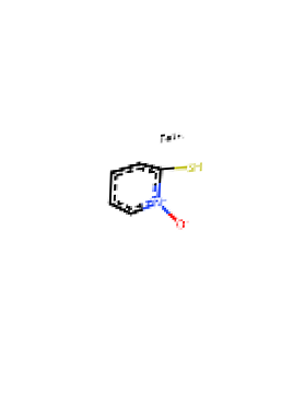 [Fe+3].[O-][n+]1ccccc1S